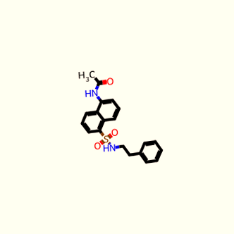 CC(=O)Nc1cccc2c(S(=O)(=O)NCCc3ccccc3)cccc12